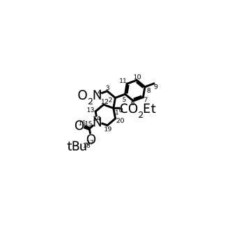 CCOC(=O)C1(C(C[N+](=O)[O-])c2ccc(C)cc2)CCN(C(=O)OC(C)(C)C)CC1